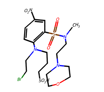 CN(CCN1CCOCC1)S(=O)(=O)c1cc([N+](=O)[O-])ccc1N(CCBr)CCCS(=O)(=O)O